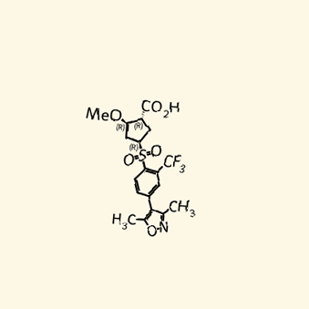 CO[C@@H]1C[C@H](S(=O)(=O)c2ccc(-c3c(C)noc3C)cc2C(F)(F)F)C[C@H]1C(=O)O